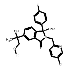 CCOCC(C)(O)c1ccc2c(c1)C(=O)N(Cc1ccc(Cl)cn1)[C@@]2(OC)c1ccc(Cl)cc1